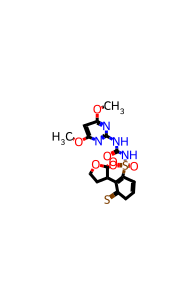 COc1cc(OC)nc(NC(=O)NS(=O)(=O)C2=C(C3CCOC3=O)C(=S)CC=C2)n1